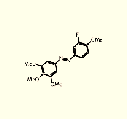 COc1ccc(N=Nc2cc(OC)c(OC)c(OC)c2)cc1F